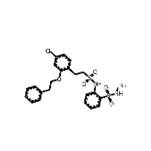 CC(C)(C)NS(=O)(=O)c1ccccc1NS(=O)(=O)CCc1ccc(Cl)cc1OCCc1ccccc1